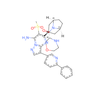 CS(=O)(=O)c1c([C@H]2C[C@H]3CC[C@@H](C2)N3C(=O)[C@H]2COCCN2)nc2c(-c3ccc(-c4ccccc4)nc3)cnn2c1N